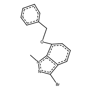 Cn1nc(Br)c2cccc(OCc3ccccc3)c21